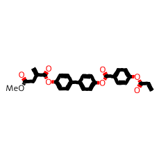 C=CC(=O)Oc1ccc(C(=O)Oc2ccc(-c3ccc(OC(=O)C(=C)CC(=O)OC)cc3)cc2)cc1